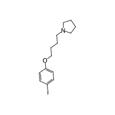 Ic1ccc(OCCCCN2CCCC2)cc1